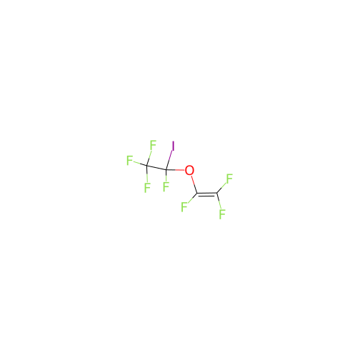 FC(F)=C(F)OC(F)(I)C(F)(F)F